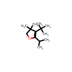 CC(C)C1=C(C(C)(C)C)C(C)(C)CO1